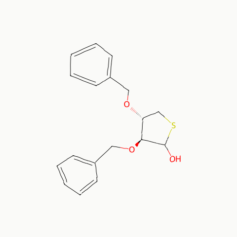 OC1SC[C@@H](OCc2ccccc2)[C@@H]1OCc1ccccc1